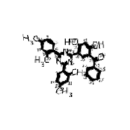 Cc1ccc(-c2nc(-c3ccc(C)cc3C)nc(-c3cc(C(=O)c4ccccc4)c(O)cc3O)n2)c(C)c1